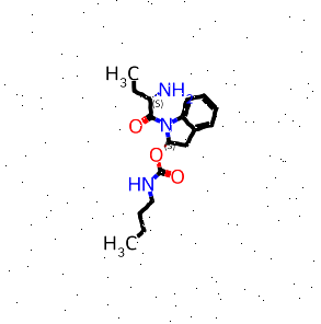 CCCCNC(=O)O[C@H]1Cc2ccccc2N1C(=O)[C@@H](N)CC